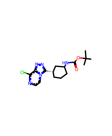 CC(C)(C)OC(=O)NC1CCC[C@H](c2nnc3c(Cl)nccn23)C1